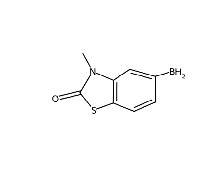 Bc1ccc2sc(=O)n(C)c2c1